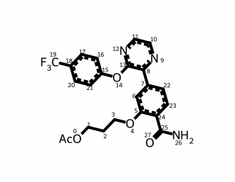 CC(=O)OCCCOc1cc(-c2nccnc2Oc2ccc(C(F)(F)F)cc2)ccc1C(N)=O